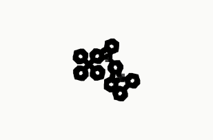 c1ccc(-c2ccccc2-n2c3ccccc3c3cc(-n4c5ccccc5c5ccc(C(c6ccccc6)(c6ccccc6)c6ccccc6)cc54)ccc32)cc1